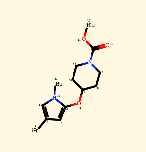 CC(C)c1cc(OC2CCN(C(=O)OC(C)(C)C)CC2)n(C(C)(C)C)c1